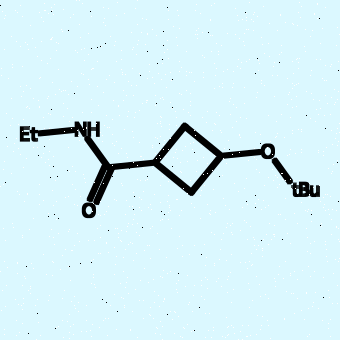 CCNC(=O)C1CC(OC(C)(C)C)C1